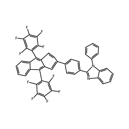 Fc1c(F)c(F)c(-c2c3ccccc3c(-c3c(F)c(F)c(F)c(F)c3F)c3cc(-c4ccc(-c5nc6ccccc6n5-c5ccccc5)cc4)ccc23)c(F)c1F